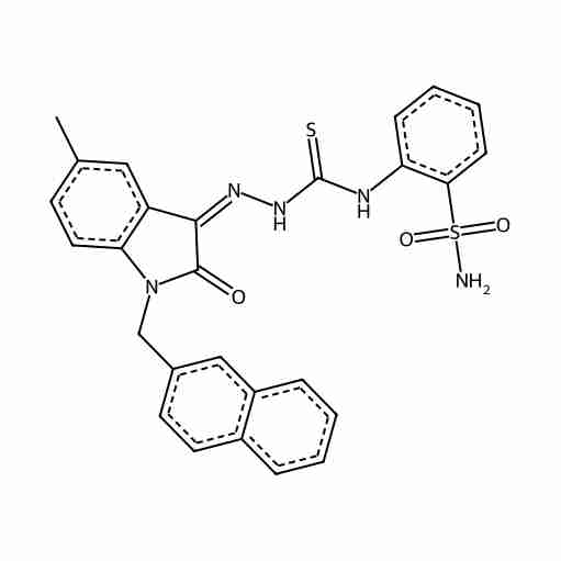 Cc1ccc2c(c1)C(=NNC(=S)Nc1ccccc1S(N)(=O)=O)C(=O)N2Cc1ccc2ccccc2c1